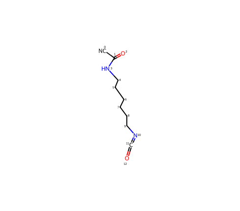 N#CC(=O)NCCCCCCN=C=O